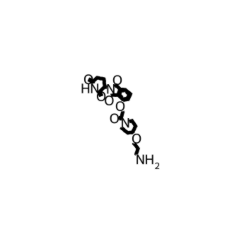 NCCCOC1CCN(C(=O)COc2cccc3c2C(=O)N(C2CCC(=O)NC2=O)C3=O)CC1